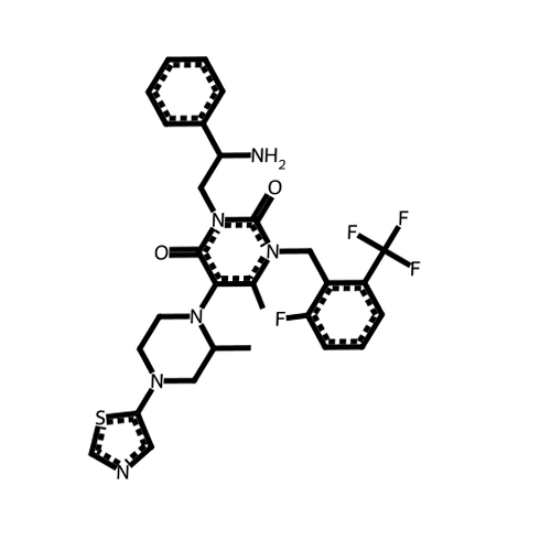 Cc1c(N2CCN(c3cncs3)CC2C)c(=O)n(CC(N)c2ccccc2)c(=O)n1Cc1c(F)cccc1C(F)(F)F